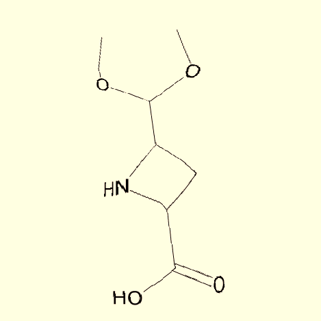 COC(OC)C1CC(C(=O)O)N1